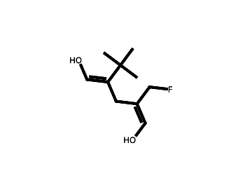 CC(C)(C)/C(=C\O)C/C(=C\O)CF